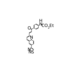 CCOC(=O)Nc1ccc(C(=O)C=Cc2ccc3cc(-c4csnn4)ccc3n2)cc1